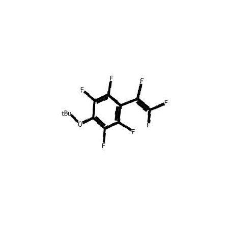 CC(C)(C)Oc1c(F)c(F)c(C(F)=C(F)F)c(F)c1F